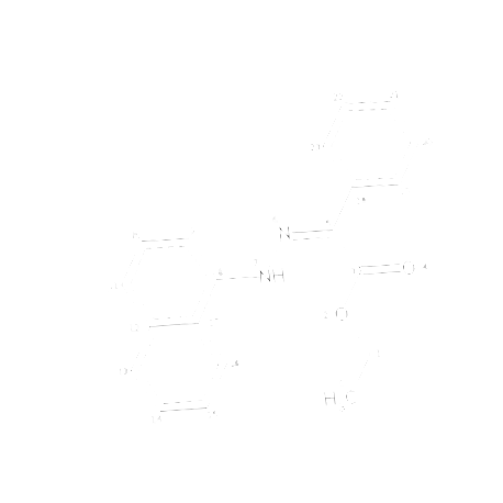 CCOC(=O)/C(=N\Nc1cccc2ccccc12)c1ccccc1